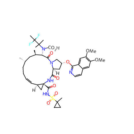 COc1cc2ccnc(O[C@@H]3C[C@H]4C(=O)N[C@]5(C(=O)NS(=O)(=O)C6(C)CC6)C[C@H]5/C=C\CC[C@H](C)C[C@@H](C)[C@H](N(C(=O)O)C(C)(C)C(C)(F)F)C(=O)N4C3)c2cc1OC